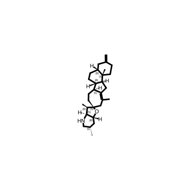 C=C1CC[C@@]2(C)[C@H](CC[C@H]3[C@@H]4CC[C@@]5(CC(C)=C4C[C@@H]32)O[C@@H]2C[C@H](C)CN[C@H]2[C@H]5C)C1